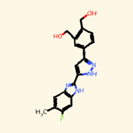 Cc1cc2nc(-c3cc(-c4ccc(CO)c(CO)c4)n[nH]3)[nH]c2cc1F